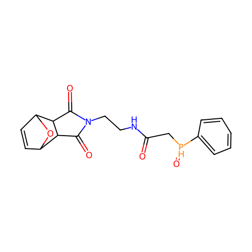 O=C(C[PH](=O)c1ccccc1)NCCN1C(=O)C2C3C=CC(O3)C2C1=O